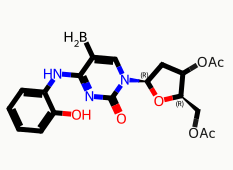 Bc1cn([C@H]2CC(OC(C)=O)[C@@H](COC(C)=O)O2)c(=O)nc1Nc1ccccc1O